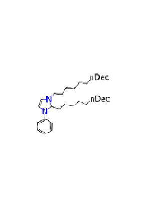 CCCCCCCCCCCCCCCCN1C=CN(c2ccccc2)C1CCCCCCCCCCCCCCC